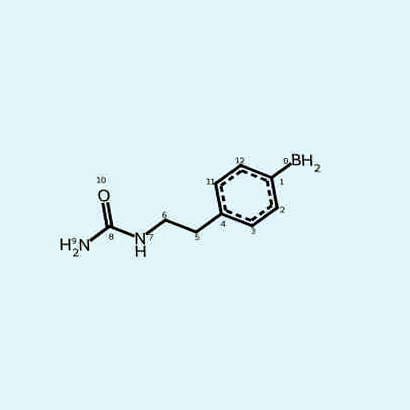 Bc1ccc(CCNC(N)=O)cc1